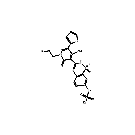 CCS(=O)(=O)Nc1ccc2c(c1)S(=O)(=O)NC(c1c(O)c(-c3cccs3)nn(CCC(C)C)c1=O)=N2